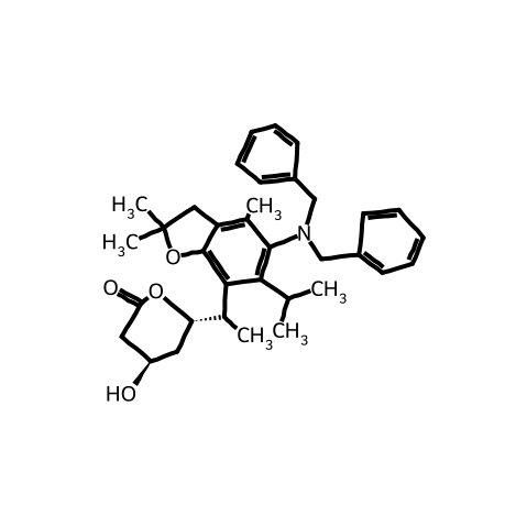 Cc1c2c(c(C(C)[C@@H]3C[C@@H](O)CC(=O)O3)c(C(C)C)c1N(Cc1ccccc1)Cc1ccccc1)OC(C)(C)C2